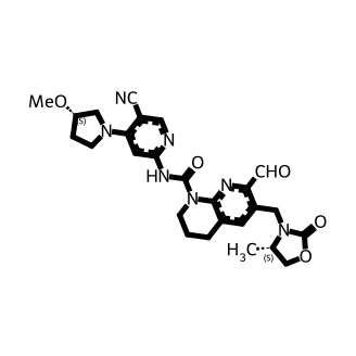 CO[C@H]1CCN(c2cc(NC(=O)N3CCCc4cc(CN5C(=O)OC[C@@H]5C)c(C=O)nc43)ncc2C#N)C1